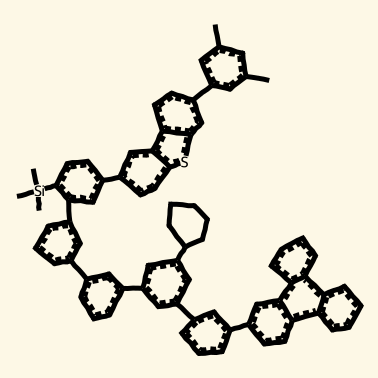 Cc1cc(C)cc(-c2ccc3c(c2)sc2ccc(-c4ccc([Si](C)(C)C)c(-c5cccc(-c6cccc(-c7cc(-c8cccc(-c9ccc%10c%11ccccc%11c%11ccccc%11c%10c9)c8)cc(C8CCCCC8)c7)c6)c5)c4)cc23)c1